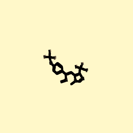 C=N/C(=C\c1c(C(F)(F)F)ncn1C)c1ccc(OC(F)(F)F)cc1